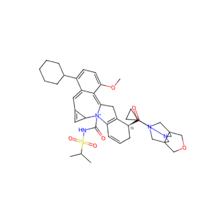 COc1ccc(C2CCCCC2)c2c1=C1CC3=C(C=CC[C@@H]3C(=O)N3CC45COCC4(C3)CN(C3CC3)C5)[N+]1(C(=O)NS(=O)(=O)C(C)C)C1C=C1C=2